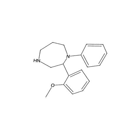 COc1ccccc1C1CNCCCN1c1ccccc1